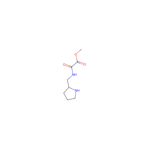 COC(=O)C(=O)NCC1CCCN1